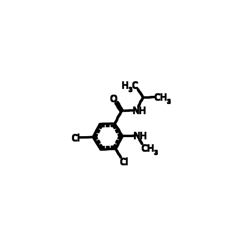 CNc1c(Cl)cc(Cl)cc1C(=O)NC(C)C